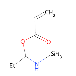 C=CC(=O)OC(CC)N[SiH3]